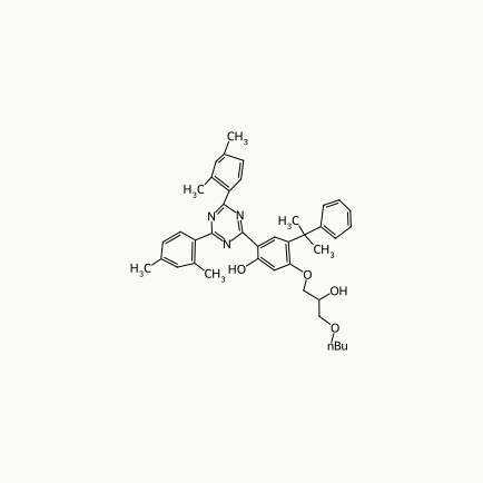 CCCCOCC(O)COc1cc(O)c(-c2nc(-c3ccc(C)cc3C)nc(-c3ccc(C)cc3C)n2)cc1C(C)(C)c1ccccc1